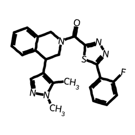 Cc1c(C2CN(C(=O)c3nnc(-c4ccccc4F)s3)Cc3ccccc32)cnn1C